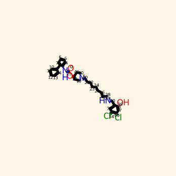 O=C(Nc1ccccc1-c1ccccc1)OC1CCN(CCCCCCCCCNCc2cc(Cl)c(Cl)cc2O)CC1